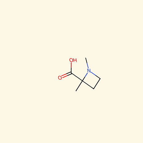 CN1CCC1(C)C(=O)O